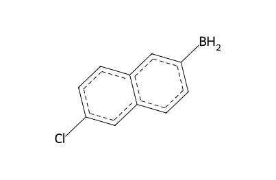 Bc1ccc2cc(Cl)ccc2c1